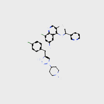 CC(Nc1c(C#N)cnc2c(Cl)cc(N[C@H](C3=CN(C4CCN(C(C)(C)C)CC4)NN3)c3ccc(Cl)cc3)cc12)c1cccnc1